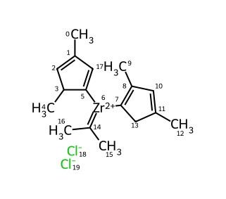 CC1=CC(C)[C]([Zr+2]([C]2=C(C)C=C(C)C2)=[C](C)C)=C1.[Cl-].[Cl-]